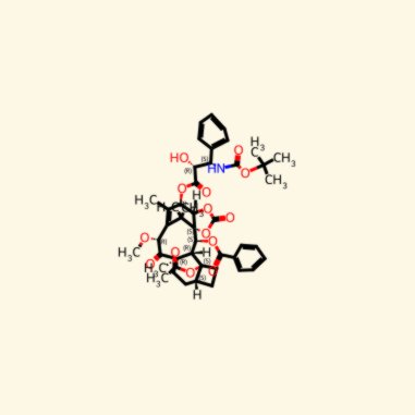 CO[C@H]1C(=O)[C@]2(C)CC[C@H]3CC[C@@]3(OC(C)=O)[C@H]2[C@H](OC(=O)c2ccccc2)[C@]23OC(=O)O[C@H]2[C@H](OC(=O)[C@H](O)[C@@H](NC(=O)OC(C)(C)C)c2ccccc2)C(C)=C1C3(C)C